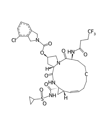 O=C(CCC(F)(F)F)N[C@H]1CCCCC/C=C\[C@@H]2C[C@@]2(C(=O)NS(=O)(=O)C2CC2)NC(=O)[C@@H]2C[C@@H](OC(=O)N3Cc4cccc(Cl)c4C3)CN2C1=O